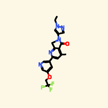 CCn1cc(N2Cc3nc(-c4cncc(OCC(F)(F)F)c4)cc(C)c3C2=O)cn1